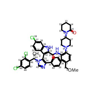 COCc1ccc(N2CCC(N3CCCCC3=O)CC2)c(NC(=O)c2[nH]c3cc(Cl)ccc3c2-c2c(-c3ccccc3)ncn2[C@@H](C)c2ccc(Cl)cc2Cl)c1